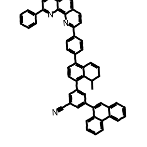 CC1CC=Cc2c(-c3ccc(-c4ccc5ccc6ccc(-c7ccccc7)nc6c5n4)cc3)ccc(-c3cc(C#N)cc(-c4cc5ccccc5c5ccccc45)c3)c21